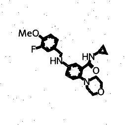 COc1ccc(CNc2ccc(N3CCOCC3)c(C(=O)NC3CC3)c2)cc1F